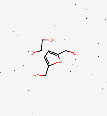 OCCO.OCc1ccc(CO)o1